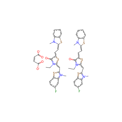 CCn1c(=O)/c(=C/C=C2/Sc3ccccc3N2C)s/c1=C/c1sc2ccc(F)cc2[n+]1C.CCn1c(=O)/c(=C/C=C2/Sc3ccccc3N2C)s/c1=C/c1sc2ccc(F)cc2[n+]1C.O=C([O-])/C=C\C(=O)[O-]